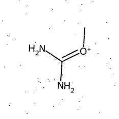 C[O+]=C(N)N